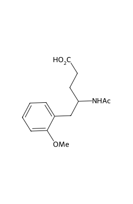 COc1ccccc1CC(CCC(=O)O)NC(C)=O